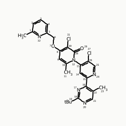 Cc1cccc(COc2cc(C)n(-c3cc(-c4nc(C(C)(C)C)ncc4C)ncc3Cl)c(=O)c2Cl)n1